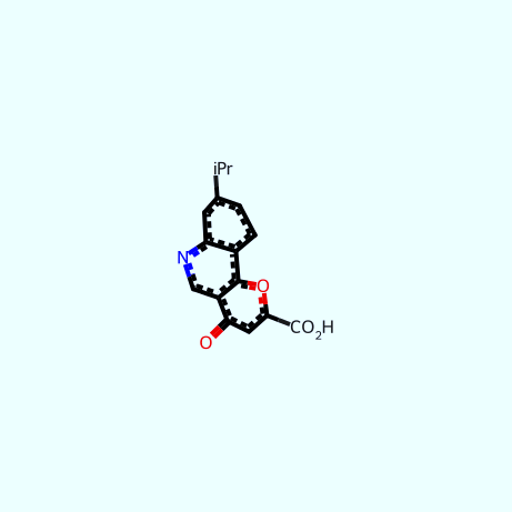 CC(C)c1ccc2c(c1)ncc1c(=O)cc(C(=O)O)oc12